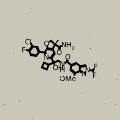 COc1cc(C(=O)NCC(O)(c2cc3c(c(-c4ccc(F)c(Cl)c4)n2)OC[C@]3(C)C(N)=O)C2CCC2)cc2cn(C(F)F)nc12